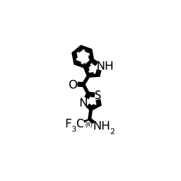 N[C@H](c1csc(C(=O)c2c[nH]c3ccccc23)n1)C(F)(F)F